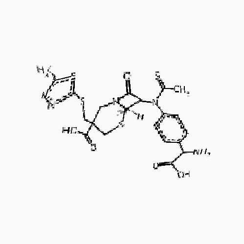 CC(=S)N(c1ccc(C(N)C(=O)O)cc1)C1C(=O)N2CC(CSc3nnc(C)s3)(C(=O)O)CS[C@H]12